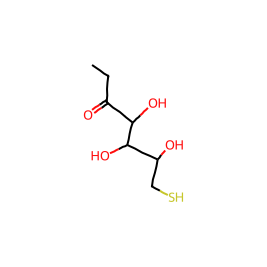 CCC(=O)C(O)C(O)C(O)CS